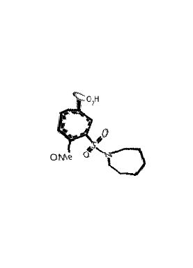 COc1ccc(C(=O)O)cc1S(=O)(=O)N1CCCCCC1